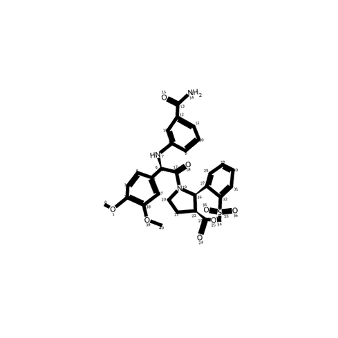 COc1ccc([C@@H](Nc2cccc(C(N)=O)c2)C(=O)N2CC[C@H](C(=O)O)[C@@H]2c2ccccc2S(C)(=O)=O)cc1OC